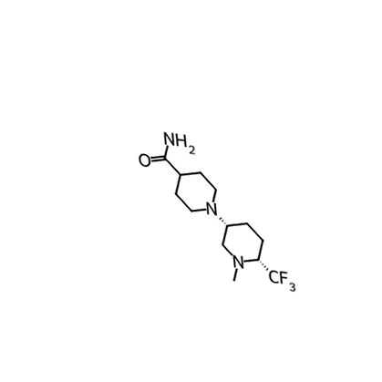 CN1C[C@H](N2CCC(C(N)=O)CC2)CC[C@@H]1C(F)(F)F